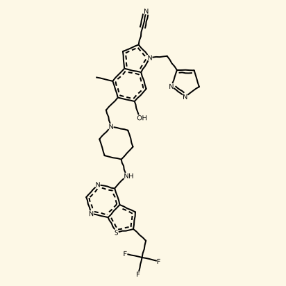 Cc1c(CN2CCC(Nc3ncnc4sc(CC(F)(F)F)cc34)CC2)c(O)cc2c1cc(C#N)n2CC1=CCN=N1